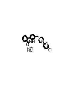 Cl.Cl.O=c1[nH]c2cc(CN3CCN(c4ccc(Cl)cn4)CC3)ccc2c2ccccc12